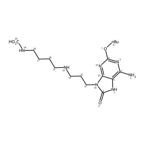 CCCCOc1nc(N)c2[nH]c(=O)n(CCCNCCCCNC(=O)O)c2n1